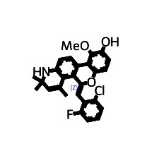 COc1c(O)ccc2c1-c1ccc3c(c1/C(=C/c1c(F)cccc1Cl)O2)C(C)=CC(C)(C)N3